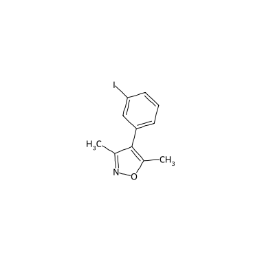 Cc1noc(C)c1-c1cccc(I)c1